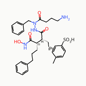 CC(C)C[C@@H](C(=O)NN(Cc1ccccc1)C(=O)CCCN)[C@H](CCCc1ccccc1)C(=O)NO.Cc1ccc(S(=O)(=O)O)cc1